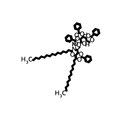 CCCCCCCCCCCCC/C=C/[C@@H](OC(=O)c1ccccc1)[C@H](CO[C@@H]1O[C@@H]2COC(c3ccccc3)O[C@@H]2[C@H](OC(=O)c2ccccc2)[C@H]1OC(=O)c1ccccc1)NC(=O)CCCCCCCCCCCCCCC